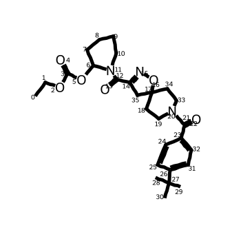 CCOC(=O)OC1CCCCN1C(=O)C1=NOC2(CCN(C(=O)c3ccc(C(C)(C)C)cc3)CC2)C1